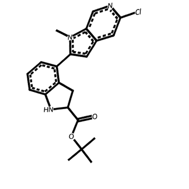 Cn1c(-c2cccc3c2CC(C(=O)OC(C)(C)C)N3)cc2cc(Cl)ncc21